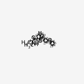 CCC(NC)C(=O)N[C@H]1CC[C@H]2CC[C@@H](c3cccc(Oc4ccccc4)c3)N2C1=O